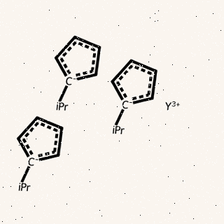 CC(C)[c-]1cccc1.CC(C)[c-]1cccc1.CC(C)[c-]1cccc1.[Y+3]